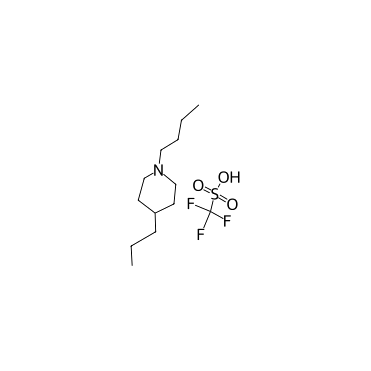 CCCCN1CCC(CCC)CC1.O=S(=O)(O)C(F)(F)F